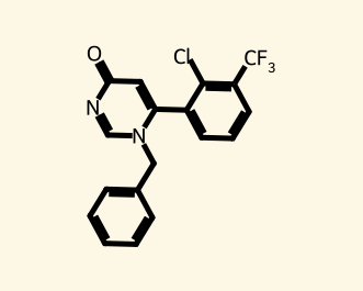 O=c1cc(-c2cccc(C(F)(F)F)c2Cl)n(Cc2ccccc2)cn1